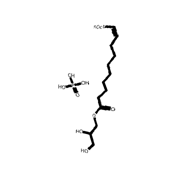 CCCCCCCC/C=C\CCCCCCCC(=O)OCC(O)CO.O=P(O)(O)O